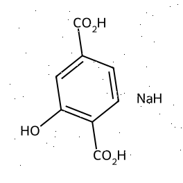 O=C(O)c1ccc(C(=O)O)c(O)c1.[NaH]